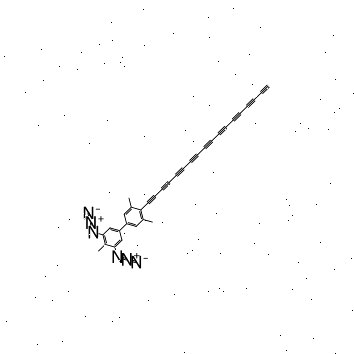 C#CC#CC#CC#CC#CC#CC#CC#CC#Cc1c(C)cc(-c2cc(N=[N+]=[N-])c(C)c(N=[N+]=[N-])c2)cc1C